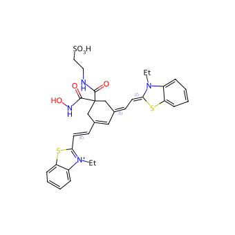 CCN1/C(=C/C=C2C=C(/C=C/c3sc4ccccc4[n+]3CC)CC(C(=O)NO)(C(=O)NCCS(=O)(=O)O)C/2)Sc2ccccc21